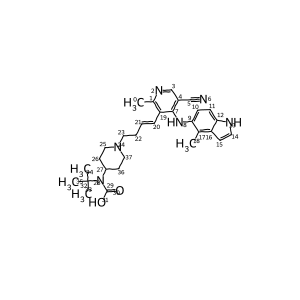 Cc1ncc(C#N)c(Nc2ccc3[nH]ccc3c2C)c1/C=C/CCN1CCC(N(C(=O)O)C(C)(C)C)CC1